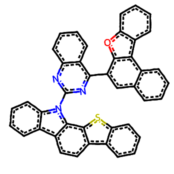 c1ccc2c(c1)cc(-c1nc(-n3c4ccccc4c4ccc5c6ccccc6sc5c43)nc3ccccc13)c1oc3ccccc3c12